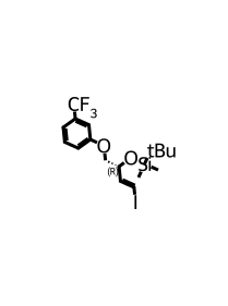 CC(C)(C)[Si](C)(C)O[C@H](C=CI)COc1cccc(C(F)(F)F)c1